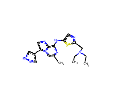 CCN(CC)Cc1ncc(Nc2nc(C)cn3c(-c4cn[nH]c4)cnc23)s1